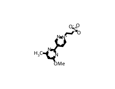 COc1cc(C)nc(-c2cc[n+](CCS(=O)(=O)[O-])nc2)n1